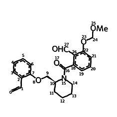 C=Cc1ccccc1OC[C@@H]1CCCCN1C(=O)c1cccc(OCOC)c1C=O